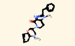 CN1C[C@H](N2CCc3c(nc(Cc4ccccc4)n3C)C2=O)COc2ccccc21